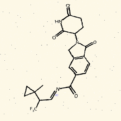 CC1(C(/C=N/C(=O)c2ccc3c(c2)CN(C2CCC(=O)NC2=O)C3=O)C(F)(F)F)CC1